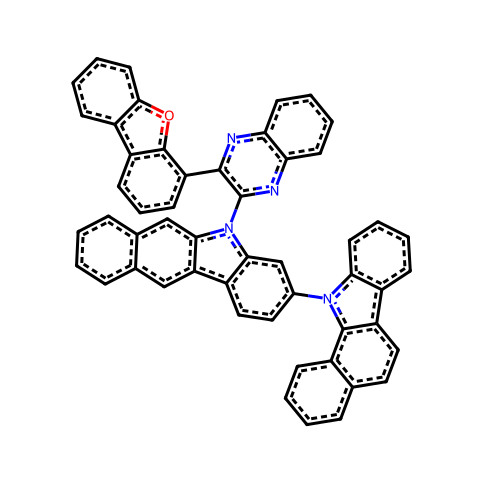 c1ccc2cc3c(cc2c1)c1ccc(-n2c4ccccc4c4ccc5ccccc5c42)cc1n3-c1nc2ccccc2nc1-c1cccc2c1oc1ccccc12